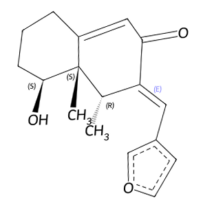 C[C@H]1/C(=C\c2ccoc2)C(=O)C=C2CCC[C@H](O)[C@]21C